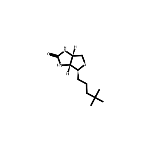 CC(C)(C)CCC[C@@H]1SC[C@H]2NC(=O)N[C@@H]12